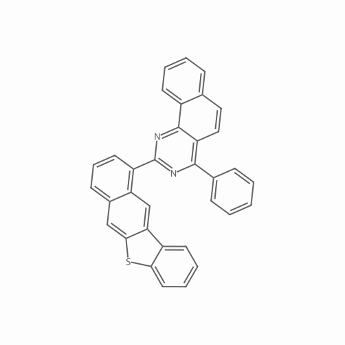 c1ccc(-c2nc(-c3cccc4cc5sc6ccccc6c5cc34)nc3c2ccc2ccccc23)cc1